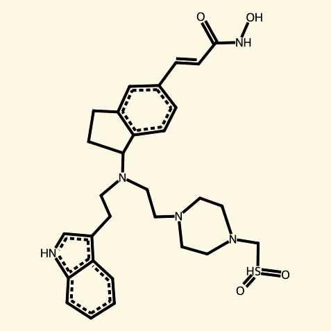 O=C(C=Cc1ccc2c(c1)CCC2N(CCc1c[nH]c2ccccc12)CCN1CCN(C[SH](=O)=O)CC1)NO